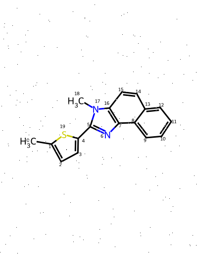 Cc1ccc(-c2nc3c4ccccc4ccc3n2C)s1